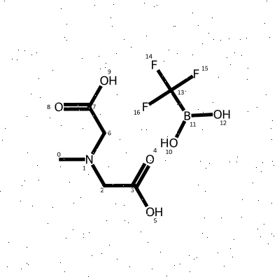 CN(CC(=O)O)CC(=O)O.OB(O)C(F)(F)F